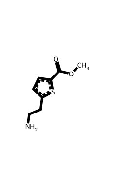 COC(=O)c1ccc(CCN)s1